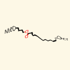 CCCCCCCC/C=C\CCCCCCCC(=O)OCCCCOC